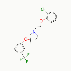 CC1(Oc2cccc(C(F)(F)F)c2)CCN(CCOc2ccccc2Cl)C1